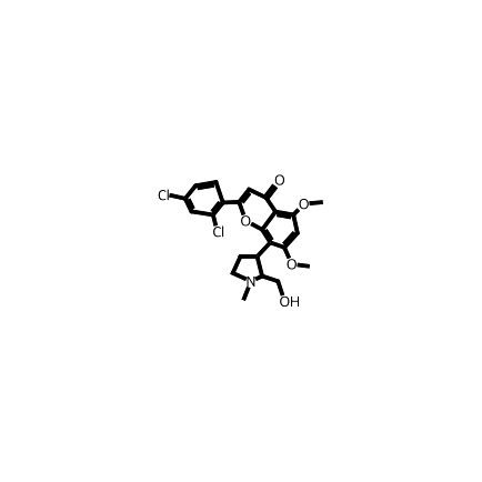 COc1cc(OC)c2c(=O)cc(-c3ccc(Cl)cc3Cl)oc2c1C1CCN(C)C1CO